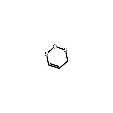 C1=CSOSC1